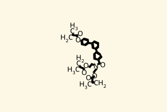 C=C(C)C(=O)OCCN(CCOC(=O)C(=C)C)C(=O)c1ccc(-c2cccc(-c3ccc(OC(=O)C(=C)C)cc3)c2)cc1